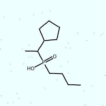 CCCCP(=O)(O)C(C)C1CCCC1